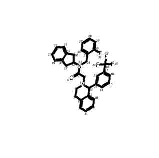 O=C(CN1CCc2ccccc2C1c1cccc(C(F)(F)F)c1)N(Cc1ccccc1F)C1Cc2ccccc2C1